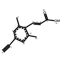 C#Cc1cc(C)c(/C=C/C(=O)OC)c(C)c1